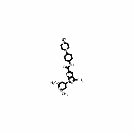 Cc1nn(C2C[C@@H](C)O[C@@H](C)C2)c2sc(C(=O)NC3CCC(N4CCN(C(C)C)CC4)CC3)cc12